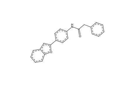 O=C(Cc1ccccc1)Nc1ccc(-c2cc3ccccc3o2)cc1